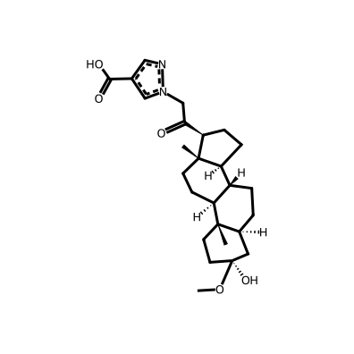 CO[C@@]1(O)CC[C@@]2(C)[C@@H](CC[C@@H]3[C@@H]2CC[C@]2(C)[C@@H](C(=O)Cn4cc(C(=O)O)cn4)CC[C@@H]32)C1